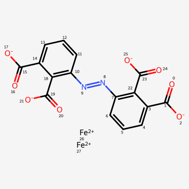 O=C([O-])c1cccc(/N=N/c2cccc(C(=O)[O-])c2C(=O)[O-])c1C(=O)[O-].[Fe+2].[Fe+2]